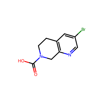 O=C(O)N1CCc2cc(Br)cnc2C1